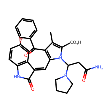 Cc1c(C(=O)c2ccccc2)c(C=C2C(=O)Nc3ccc(Br)cc32)n(C(CC(N)=O)N2CCCC2)c1C(=O)O